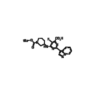 CC(C)(C)OC(=O)N1CCC[C@@H](Nc2nc(-c3cnn4ccccc34)nc(C(=O)O)c2F)C1